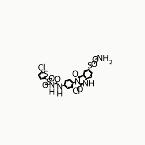 NOOSc1ccc2[nH]c(=O)n(-c3ccc(NC(=O)NS(=O)(=O)c4ccc(Cl)s4)cc3Cl)c(=O)c2c1